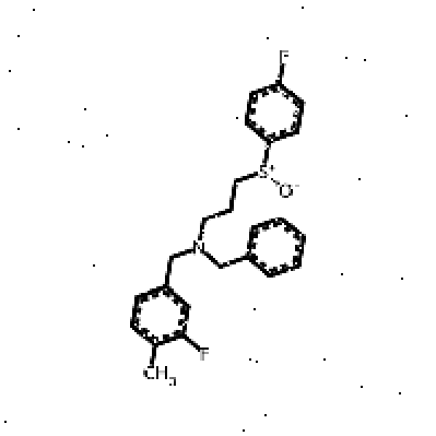 Cc1ccc(CN(CCC[S@@+]([O-])c2ccc(F)cc2)Cc2ccccc2)cc1F